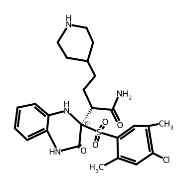 Cc1cc(S(=O)(=O)[C@]2(C(CCC3CCNCC3)C(N)=O)Nc3ccccc3NC2=O)c(C)cc1Cl